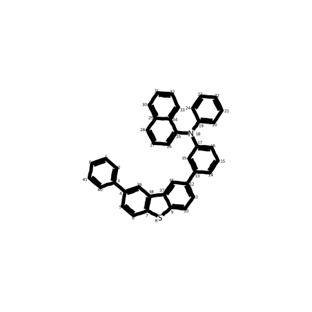 c1ccc(-c2ccc3sc4ccc(-c5cccc(N(c6ccccc6)c6cccc7ccccc67)c5)cc4c3c2)cc1